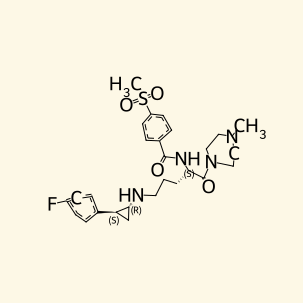 CN1CCN(C(=O)[C@H](CCCN[C@@H]2C[C@H]2c2ccc(F)cc2)NC(=O)c2ccc(S(C)(=O)=O)cc2)CC1